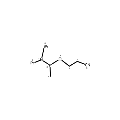 CC(C)N(C(C)C)P(C)OCCC#N